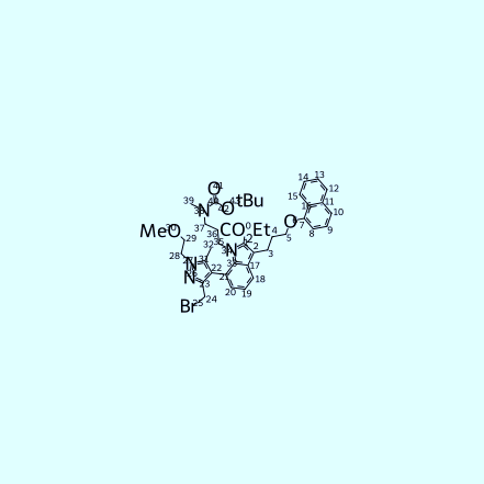 CCOC(=O)c1c(CCCOc2cccc3ccccc23)c2cccc(-c3c(CBr)nn(CCOC)c3C)c2n1CCCN(C)C(=O)OC(C)(C)C